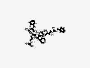 N=C(N)NCCC[C@@H](NC(=O)[C@H](Cc1ccccc1)NC(=O)O)C(=O)N[C@@H](CC1CCOCC1)C(=O)N[C@@H](CCCCNC(=O)OCc1ccccc1)C(N)=O